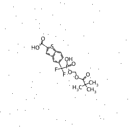 CC(C)(C)C(=O)OCOP(=O)(O)C(F)(F)c1ccc2sc(C(=O)O)cc2c1